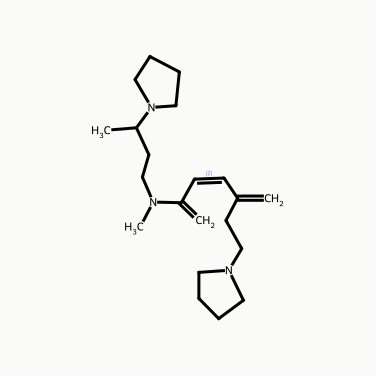 C=C(/C=C\C(=C)N(C)CCC(C)N1CCCC1)CCN1CCCC1